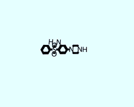 Nc1cc(N2CCNCC2)ccc1S(=O)(=O)c1ccccc1